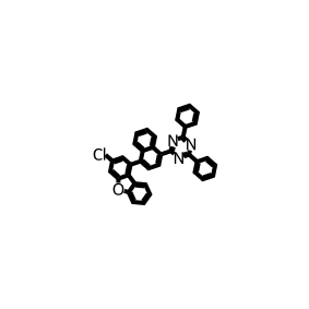 Clc1cc(-c2ccc(-c3nc(-c4ccccc4)nc(C4C=CC=CC4)n3)c3ccccc23)c2c(c1)oc1ccccc12